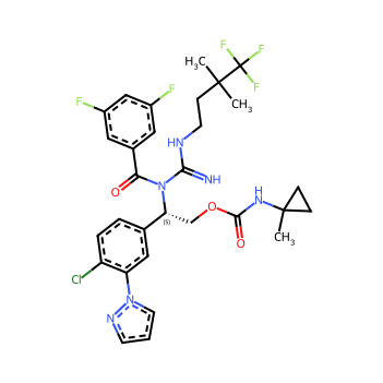 CC1(NC(=O)OC[C@H](c2ccc(Cl)c(-n3cccn3)c2)N(C(=N)NCCC(C)(C)C(F)(F)F)C(=O)c2cc(F)cc(F)c2)CC1